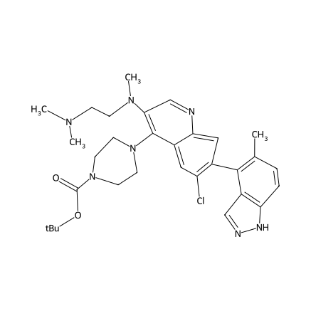 Cc1ccc2[nH]ncc2c1-c1cc2ncc(N(C)CCN(C)C)c(N3CCN(C(=O)OC(C)(C)C)CC3)c2cc1Cl